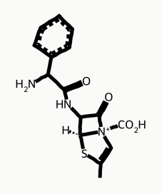 CC1=C[N+]2(C(=O)O)C(=O)C(NC(=O)C(N)c3ccccc3)[C@@H]2S1